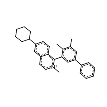 Cc1cc(-c2ccccc2)cc(-c2c3ccc(C4CCCCC4)cc3cc[n+]2C)c1C